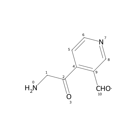 NCC(=O)c1ccncc1[C]=O